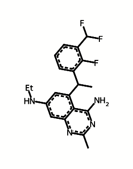 CCNc1cc(C(C)c2cccc(C(F)F)c2F)c2c(N)nc(C)nc2c1